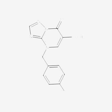 O=C(O)c1cn(Cc2ccc(F)cc2)c2ncnn2c1=O